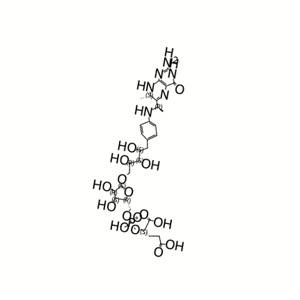 C[C@@H]1Nc2nc(N)[nH]c(=O)c2N=C1[C@@H](C)Nc1ccc(C[C@H](O)[C@H](O)[C@H](O)CO[C@H]2O[C@H](COP(=O)(O)O[C@@H](CCC(=O)O)C(=O)O)[C@@H](O)[C@H]2O)cc1